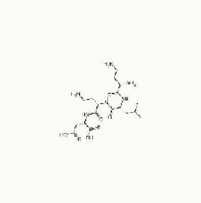 CC(C)C[C@@H](NC(=O)[C@@H](N)CCN)C(=O)N[C@@H](CCN)C(=O)N[C@@H](CC(=O)O)C(=O)O